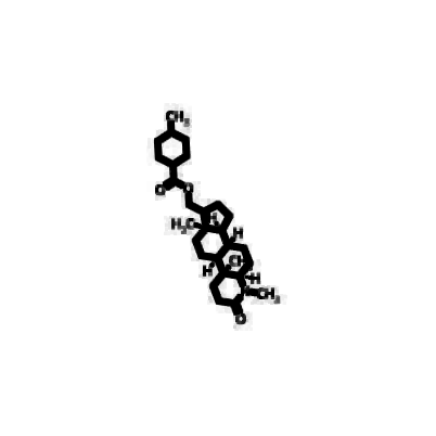 CC1CCC(C(=O)OCC2CC[C@H]3[C@@H]4CC[C@H]5N(C)C(=O)CC[C@]5(C)[C@H]4CC[C@]23C)CC1